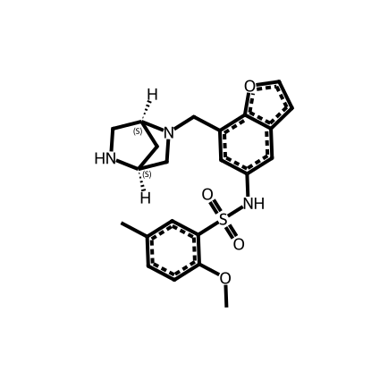 COc1ccc(C)cc1S(=O)(=O)Nc1cc(CN2C[C@@H]3C[C@H]2CN3)c2occc2c1